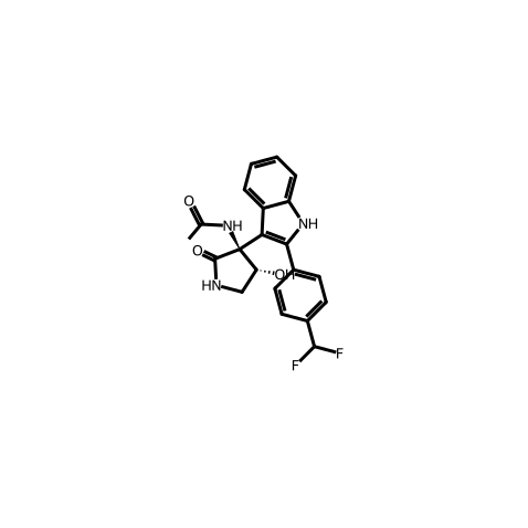 CC(=O)N[C@]1(c2c(-c3ccc(C(F)F)cc3)[nH]c3ccccc23)C(=O)NC[C@H]1O